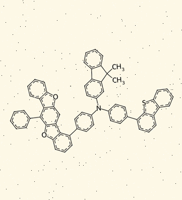 CC1(C)c2ccccc2-c2ccc(N(c3ccc(-c4cccc5c4sc4ccccc45)cc3)c3ccc(-c4cccc5oc6c(-c7ccccc7)c7c(cc6c45)oc4ccccc47)cc3)cc21